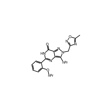 CCCOc1ccccc1-c1nc2c(CCC)n(Cc3noc(C)n3)nc2c(=O)[nH]1